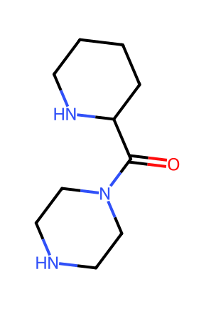 O=C(C1CCCCN1)N1CCNCC1